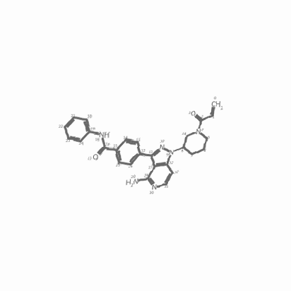 C=CC(=O)N1CCCC(n2nc(-c3ccc(C(=O)Nc4ccccc4)cc3)c3c(N)nccc32)C1